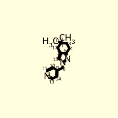 CC1(C)CCc2nn(Cc3ccncc3)cc2C1